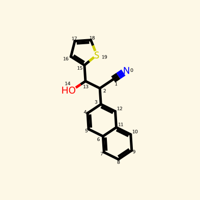 N#CC(c1ccc2ccccc2c1)C(O)c1cccs1